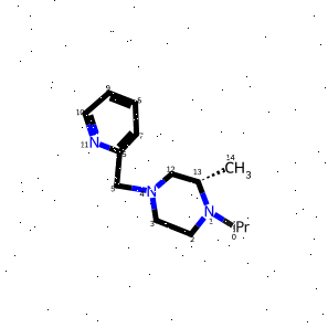 CC(C)N1CCN(Cc2ccccn2)C[C@@H]1C